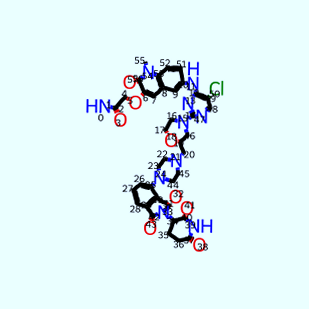 CNC(=O)COc1cc2cc(Nc3nc(N4CCOC(CN5CCN(c6cccc7c6C(=O)N(C6CCC(=O)NC6=O)C7=O)CC5)C4)ncc3Cl)ccc2n(C)c1=O